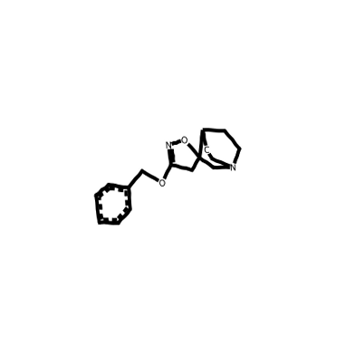 c1ccc(COC2=NOC3(C2)CN2CCC3CC2)cc1